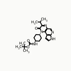 CC(C)c1nc2cnc3[nH]ccc3c2n([C@H]2CC[C@H](NC(=O)OC(C)(C)C)CC2)c1=O